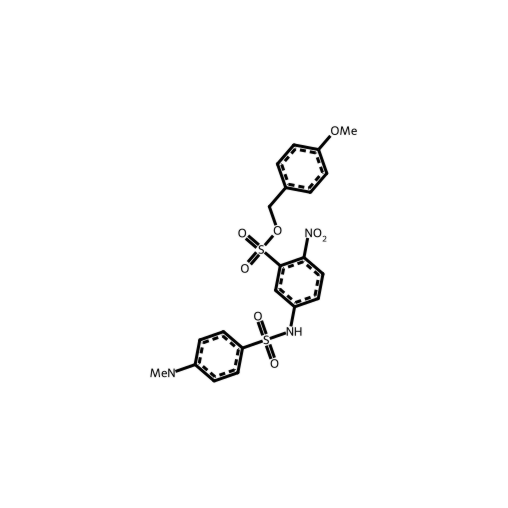 CNc1ccc(S(=O)(=O)Nc2ccc([N+](=O)[O-])c(S(=O)(=O)OCc3ccc(OC)cc3)c2)cc1